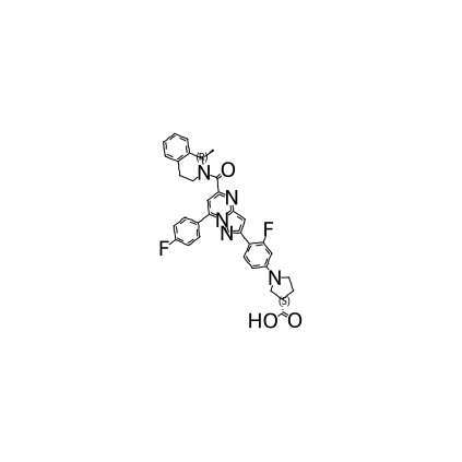 C[C@@H]1c2ccccc2CCN1C(=O)c1cc(-c2ccc(F)cc2)n2nc(-c3ccc(N4CC[C@H](C(=O)O)C4)cc3F)cc2n1